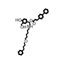 O=C(C=Cc1ccc(-c2ccccc2)cc1)OC(CNCCCCCCOCCCCc1ccccc1)c1ccc(O)c(CO)c1